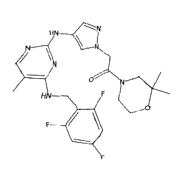 Cc1cnc(Nc2cnn(CC(=O)N3CCOC(C)(C)C3)c2)nc1NCc1c(F)cc(F)cc1F